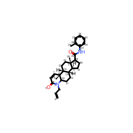 C=CCN1C(=O)C=C[C@@]2(C)C1CC[C@@H]1[C@H]2CC[C@]2(C)C(C(=O)Nc3ccccc3C)CC[C@@H]12